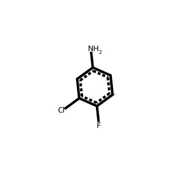 Nc1c[c]c(F)c(Cl)c1